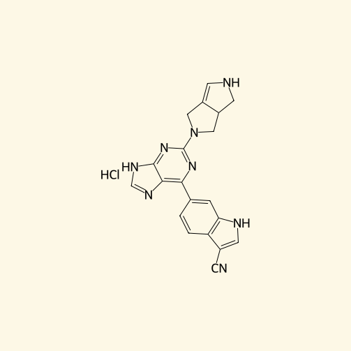 Cl.N#Cc1c[nH]c2cc(-c3nc(N4CC5=CNCC5C4)nc4[nH]cnc34)ccc12